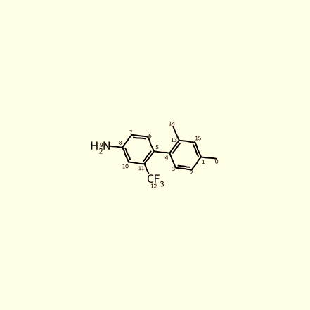 Cc1ccc(-c2ccc(N)cc2C(F)(F)F)c(C)c1